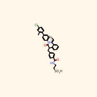 Cc1cc(Cl)ccc1-c1ccc(NC(=O)C(Cc2ccc(C(=O)NCCS(=O)(=O)O)cc2)c2ccccc2/C=C/C(C)(C)C)cc1